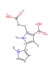 Cc1c(C(=O)O)c(CCC(=O)O)n(C)c1-c1cccn1C